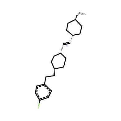 CCCCC[C@H]1CC[C@H](/C=C/[C@H]2CC[C@H](CCc3ccc(F)cc3)CC2)CC1